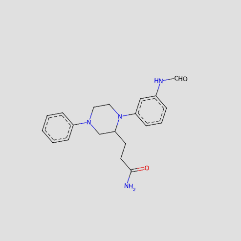 NC(=O)CCC1CN(c2ccccc2)CCN1c1cccc(NC=O)c1